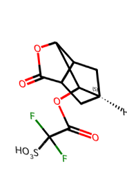 O=C1OC2C3C[C@@H](CC13)C2OC(=O)C(F)(F)S(=O)(=O)O